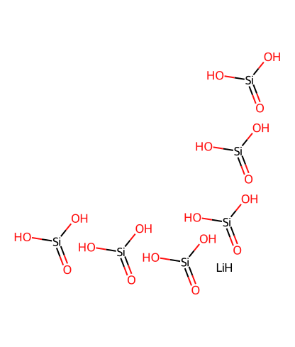 O=[Si](O)O.O=[Si](O)O.O=[Si](O)O.O=[Si](O)O.O=[Si](O)O.O=[Si](O)O.[LiH]